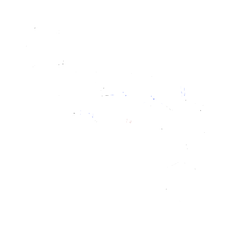 BrB1N(C2=CC(C3=CCCC=C3)=CCN2)C=CN1c1cc(C2C=CC=CC2)ccn1